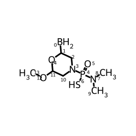 BC1CN(P(=O)(S)N(C)C)CC(OC)O1